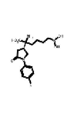 NC(CCCCB(O)O)(C(=O)O)[C@@H]1CC(=O)N(c2ccc(Cl)cc2)C1